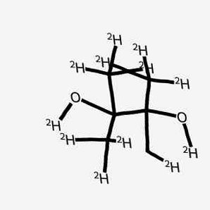 [2H]CC(O[2H])(C([2H])([2H])[2H])C(O[2H])(C([2H])([2H])[2H])C([2H])([2H])[2H]